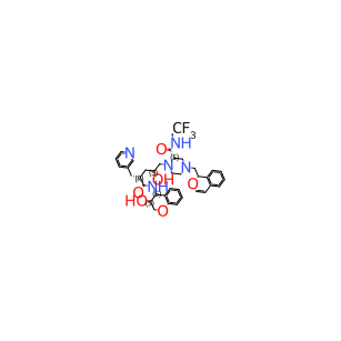 O=C(N[C@H]1c2ccccc2OC[C@H]1O)[C@H](Cc1cccnc1)C[C@H](O)CN1CCN(CC2OC=Cc3ccccc32)C[C@H]1C(=O)NCC(F)(F)F